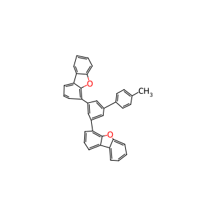 Cc1ccc(-c2cc(-c3cccc4c3oc3ccccc34)cc(-c3cccc4c3oc3ccccc34)c2)cc1